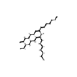 CCCCCCCC(CCCCCCC)SC(CCCCCCC)CCCCCCC